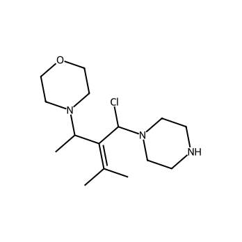 CC(C)=C(C(C)N1CCOCC1)C(Cl)N1CCNCC1